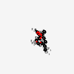 N#Cc1c(-c2ccc(-c3nc(-c4ccccc4)nc(-c4ccccc4)n3)c(C3c4ccc(-c5ccc(C(F)(F)F)cc5C(F)(F)F)cc4-c4cc(-c5ccc(C(F)(F)F)cc5C(F)(F)F)ccc43)c2)cccc1-n1c2ccc(-c3ccc(C(F)(F)F)cc3C(F)(F)F)cc2c2cc(-c3ccc(C(F)(F)F)cc3C(F)(F)F)ccc21